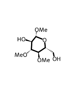 CO[C@@H]1O[C@H](CO)[C@@H](OC)[C@H](OC)[C@H]1O